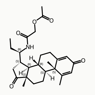 CC[C@@H](NC(=O)COC(C)=O)[C@H]1CC(=O)[C@@]2(C)CC[C@H]3[C@@H](CCC4=CC(=O)C=C(C)[C@@]43C)[C@H]12